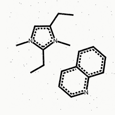 CCc1c[n+](C)c(CC)n1C.c1ccc2ncccc2c1